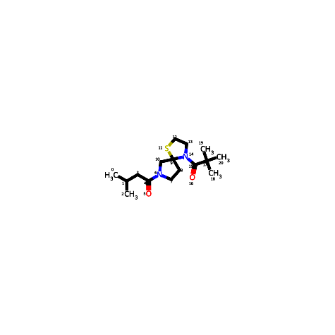 CC(C)CC(=O)N1CCC2(C1)SCCN2C(=O)C(C)(C)C